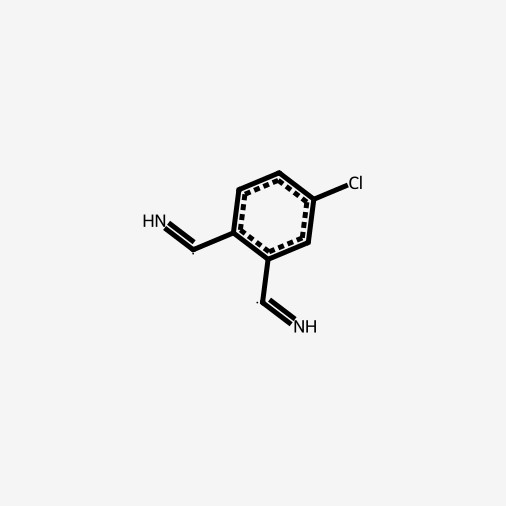 N=[C]c1ccc(Cl)cc1[C]=N